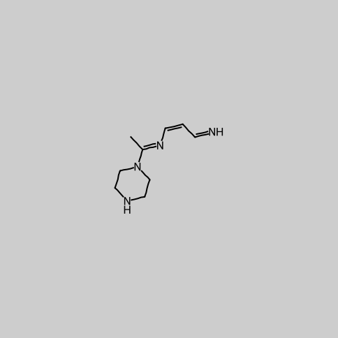 C/C(=N\C=C/C=N)N1CCNCC1